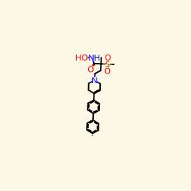 CC(CCN1CC=C(c2ccc(-c3cc[c]cc3)cc2)CC1)(C(=O)NO)S(C)(=O)=O